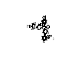 O=C(CN1CC(C(=O)N2CCC(c3ccccc3C(F)(F)F)CC2)c2ccc(Cl)cc21)N1CCNCC1